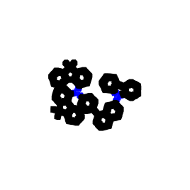 CC1(C)c2ccccc2-c2c(N(c3ccc(-c4cccc5ccc(-n6c7ccccc7c7ccccc76)cc45)cc3)c3cccc4c3-c3ccccc3C4(C)C)cccc21